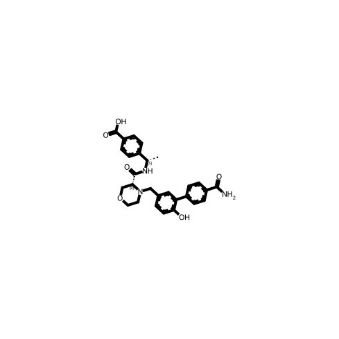 C[C@H](NC(=O)[C@H]1COCCN1Cc1ccc(O)c(-c2ccc(C(N)=O)cc2)c1)c1ccc(C(=O)O)cc1